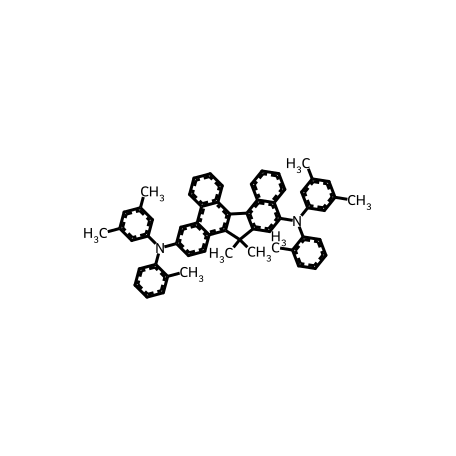 Cc1cc(C)cc(N(c2ccc3c4c(c5ccccc5c3c2)-c2c(cc(N(c3cc(C)cc(C)c3)c3ccccc3C)c3ccccc23)C4(C)C)c2ccccc2C)c1